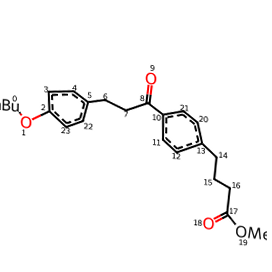 CCCCOc1ccc(CCC(=O)c2ccc(CCCC(=O)OC)cc2)cc1